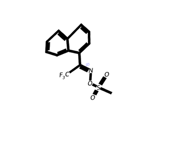 CS(=O)(=O)O/N=C(/c1cccc2ccccc12)C(F)(F)F